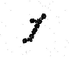 O=C(OCc1ccccc1)N1CCC(C2CC3(CCN(c4ccc(-c5ccc(OCc6ccccc6)nc5OCc5ccccc5)cc4)CC3)C2)CC1